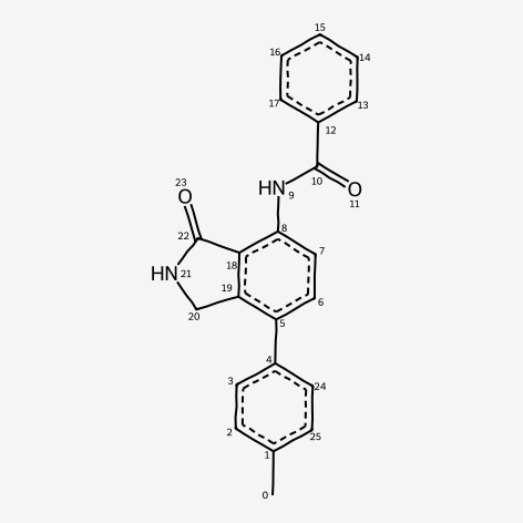 Cc1ccc(-c2ccc(NC(=O)c3ccccc3)c3c2CNC3=O)cc1